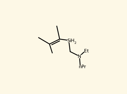 CCCN(CC)C[SiH2]C(C)=C(C)C